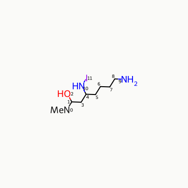 CNC(O)CC(CCCCN)NI